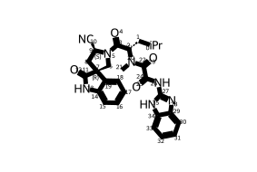 CC(C)C[C@@H](C(=O)N1C[C@]2(C[C@H]1C#N)C(=O)Nc1ccccc12)N(C)C(=O)C(=O)Nc1nc2ccccc2[nH]1